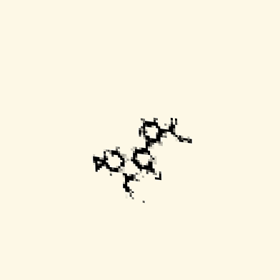 C=CC(=O)N1CC2(CC2)OC[C@@H]1c1cc(Cl)nc(-c2cc(C(=O)NC)ccn2)c1